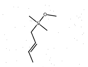 CC=CC[Si](C)(C)OC